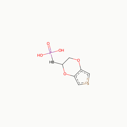 O=P(O)(O)BC1COc2cscc2O1